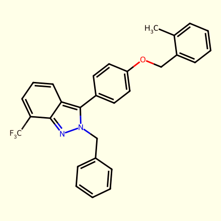 Cc1ccccc1COc1ccc(-c2c3cccc(C(F)(F)F)c3nn2Cc2ccccc2)cc1